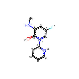 CC(C)Nc1cc(F)cn(-c2ccccn2)c1=O